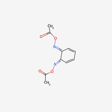 CC(=O)ON=C1C=CC=CC1=NOC(C)=O